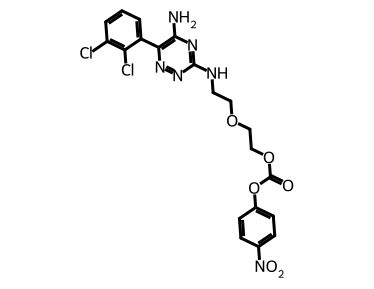 Nc1nc(NCCOCCOC(=O)Oc2ccc([N+](=O)[O-])cc2)nnc1-c1cccc(Cl)c1Cl